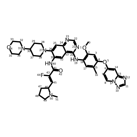 COc1cc(Oc2ccn3ncnc3c2)c(C)cc1Nc1ncnc2cc(N3CCC(N4CCOCC4)CC3)c(NC(=O)C(F)=CC3CCCN3C)cc12